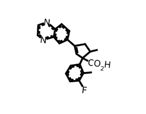 Cc1c(F)cccc1C1(C(=O)O)C=C(c2ccc3nccnc3c2)CC1C